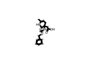 CC1=CCC(CC(=O)O)(NC(=O)OCc2ccccc2)C(=O)N1